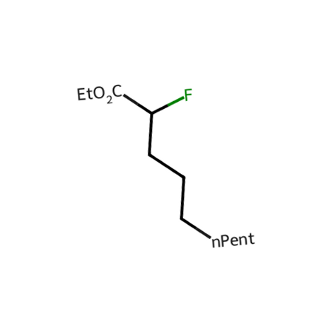 CCCCCCCCC(F)C(=O)OCC